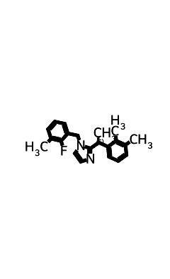 Cc1cccc([C@H](C)c2nccn2Cc2cccc(C)c2F)c1C